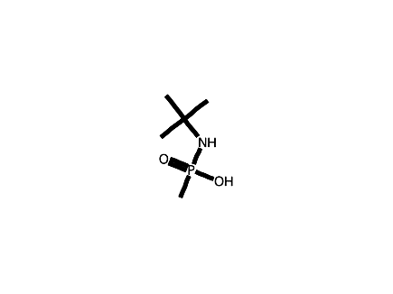 CC(C)(C)NP(C)(=O)O